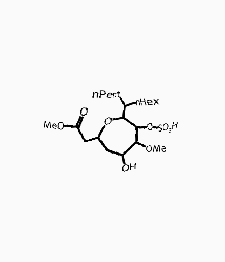 CCCCCCC(CCCCC)C1OC(CC(=O)OC)CC(O)C(OC)C1OS(=O)(=O)O